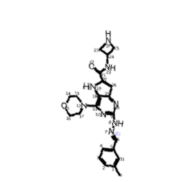 Cc1cccc(/C=N/Nc2nc(N3CCOCC3)c3[nH]c(C(=O)NC4CNC4)cc3n2)c1